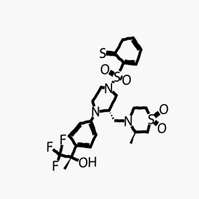 C[C@@H]1CS(=O)(=O)CCN1C[C@H]1CN(S(=O)(=O)C2=CC=CCC2=S)CCN1c1ccc([C@](C)(O)C(F)(F)F)cc1